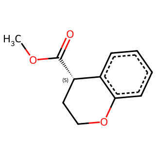 COC(=O)[C@H]1CCOc2ccccc21